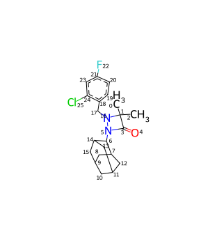 CC1(C)C(=O)N(C2C3CC4CC(C3)CC2C4)N1Cc1ccc(F)cc1Cl